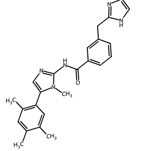 Cc1cc(C)c(-c2cnc(NC(=O)c3cccc(Cc4ncc[nH]4)c3)n2C)cc1C